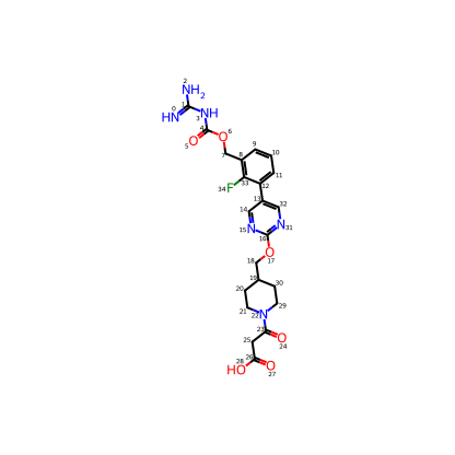 N=C(N)NC(=O)OCc1cccc(-c2cnc(OCC3CCN(C(=O)CC(=O)O)CC3)nc2)c1F